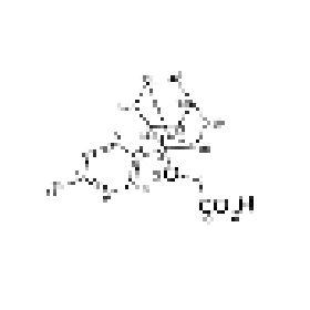 O=C(O)COC1(c2ccc(F)cc2)C2CC3CC(C2)CC1C3